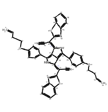 C=CCCOc1ccc(-c2[nH]/c(=C(/C#N)c3nc4ccccc4s3)c3c(-c4ccc(OCCC=C)cc4)[nH]/c(=C(/C#N)c4nc5ccccc5s4)c23)cc1